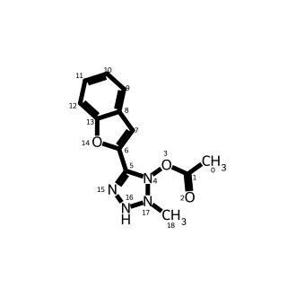 CC(=O)ON1C(c2cc3ccccc3o2)=NNN1C